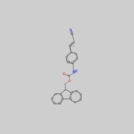 N#C/C=C/c1ccc(NC(=O)OCC2c3ccccc3-c3ccccc32)cc1